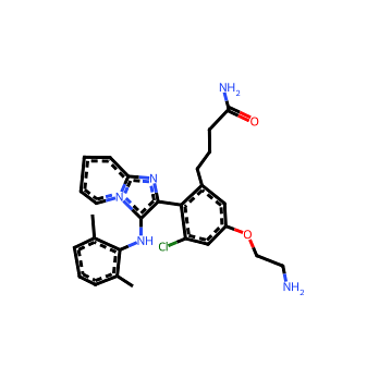 Cc1cccc(C)c1Nc1c(-c2c(Cl)cc(OCCN)cc2CCCC(N)=O)nc2ccccn12